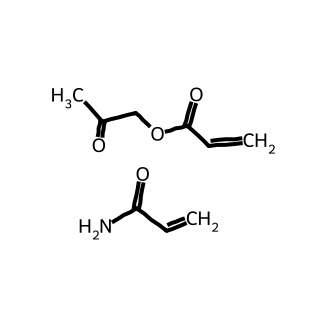 C=CC(=O)OCC(C)=O.C=CC(N)=O